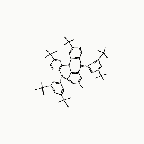 Cc1cc2c3c(c1)N(c1cc(C(C)(C)C)cc(C(C)(C)C)c1)c1ccc(C(C)(C)C)cc1B3c1cc(C(C)(C)C)ccc1N2c1cc(C(C)(C)C)cc(C(C)(C)C)c1